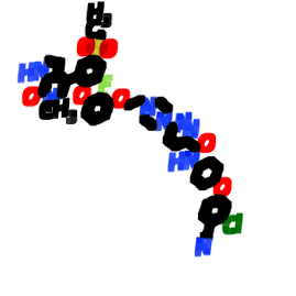 CCS(=O)(=O)c1ccc(Oc2cccc(OCCN3CCN(c4ccc(C(=O)NC5CCC(Oc6ccc(C#N)c(Cl)c6)CC5)nn4)CC3)c2F)c(-c2cn(C)c(=O)c3[nH]ccc23)c1